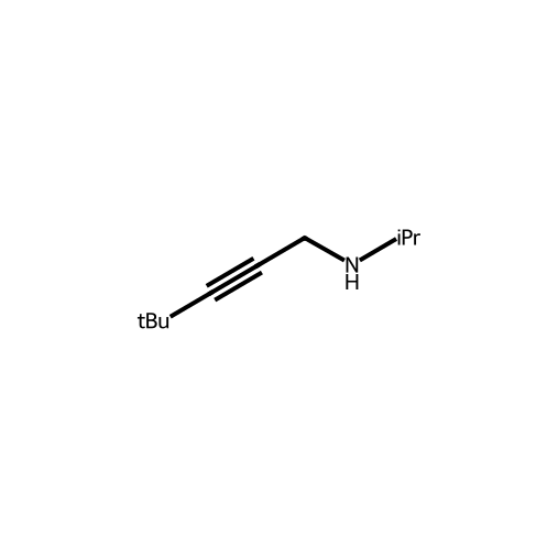 CC(C)NCC#CC(C)(C)C